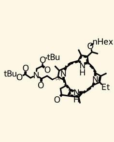 CCCCCCOC(C)c1c(C)c2cc3nc(c4c5[nH]c(cc6nc(cc1[nH]2)C(C)=C6CC)c(C)c5C(=O)C4)[C@@H](CCC(=O)N(CC(=O)OC(C)(C)C)CC(=O)OC(C)(C)C)C3C